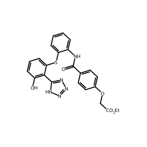 CCOC(=O)COc1ccc(C(=O)Nc2ccccc2Sc2cccc(O)c2-c2nnn[nH]2)cc1